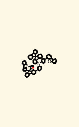 c1cc(-c2ccc3c(c2)C2(c4ccccc4-3)c3ccccc3-n3c4ccccc4c4cccc2c43)cc(N(c2ccc(-c3cccc4c3oc3ccccc34)cc2)c2cccc3c2-c2ccccc2C32c3ccccc3-c3ccccc32)c1